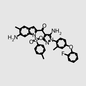 Cc1ccc(S(=O)(=O)n2c(C(=O)c3cnn(-c4ccc(Oc5ccccc5F)cc4C)c3N)cc3cc(C)c(N)cc32)cc1